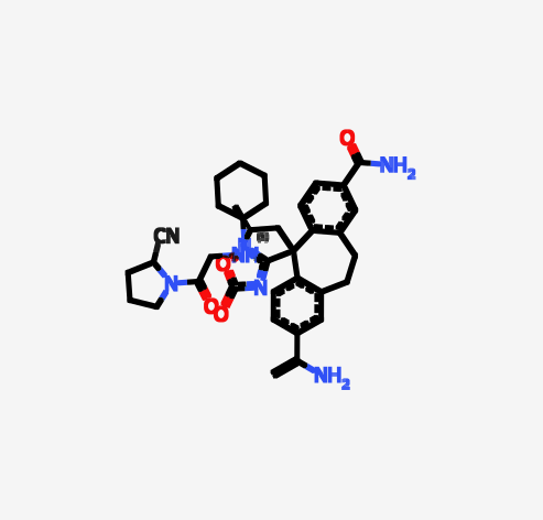 C=C(N)c1ccc2c(c1)CCc1cc(C(N)=O)ccc1C2(C[C@H](C)NCC(=O)N1CCCC1C#N)c1nc(=O)on1C1CCCCC1